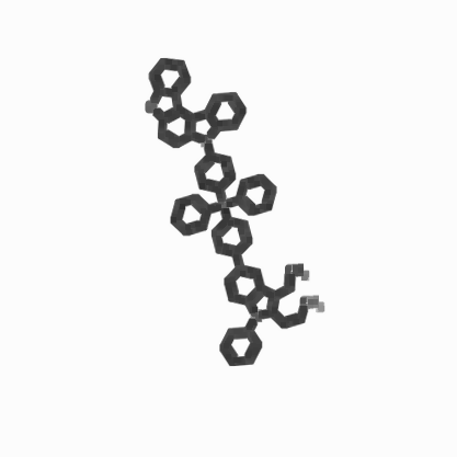 C=Cc1c(/C=C\C)n(-c2ccccc2)c2ccc(-c3ccc([Si](c4ccccc4)(c4ccccc4)c4ccc(-n5c6ccccc6c6c7c(ccc65)oc5ccccc57)cc4)cc3)cc12